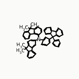 CC1(C)c2ccccc2-c2cc(N(c3cccc(C4(c5ccccc5)c5ccccc5-c5ccccc54)c3)c3cccc4c3-c3ccccc3C4(C)C)ccc21